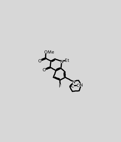 CCn1cc(C(=O)OC)c(=O)c2cc(F)c(N3CCN4CCC3CC4)cc21